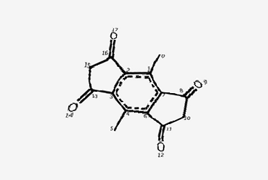 Cc1c2c(c(C)c3c1C(=O)CC3=O)C(=O)CC2=O